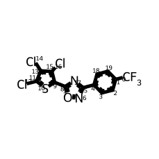 FC(F)(F)c1ccc(-c2noc(-c3sc(Cl)c(Cl)c3Cl)n2)cc1